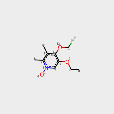 CCOc1c[n+]([O-])c(C)c(C)c1OCF